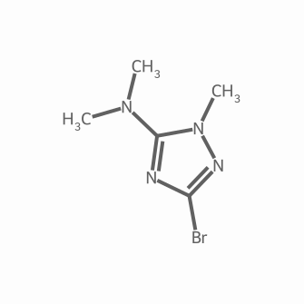 CN(C)c1nc(Br)nn1C